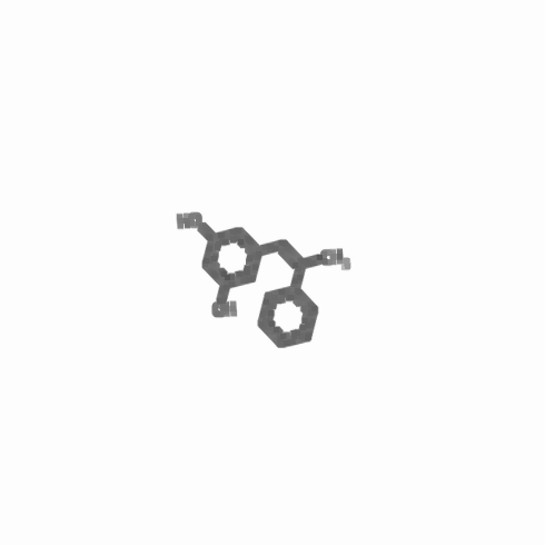 CC(=Cc1cc(O)cc(O)c1)c1ccccc1